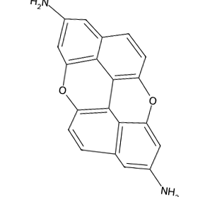 Nc1cc2ccc3oc4cc(N)cc5ccc6oc(c1)c2c3-c6c54